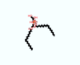 CCCCCCCC/C=C\CCCCCCCC(=O)OCC(COP(=O)(O)OCC(O)CO)OC(=O)CCCCCCC/C=C\CCCCCCCC